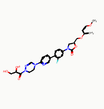 C=C(/C=C\OC)OCC1CN(c2ccc(-c3ccc(N4C=NN(C(=O)C(O)CO)CC4)nc3)c(F)c2)C(=O)O1